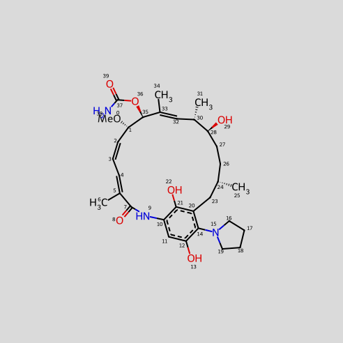 CO[C@H]1/C=C\C=C(/C)C(=O)Nc2cc(O)c(N3CCCC3)c(c2O)C[C@@H](C)CC[C@H](O)[C@@H](C)/C=C(\C)[C@@H]1OC(N)=O